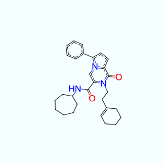 O=C(NC1CCCCCC1)c1cn2c(-c3ccccc3)ccc2c(=O)n1CCC1=CCCCC1